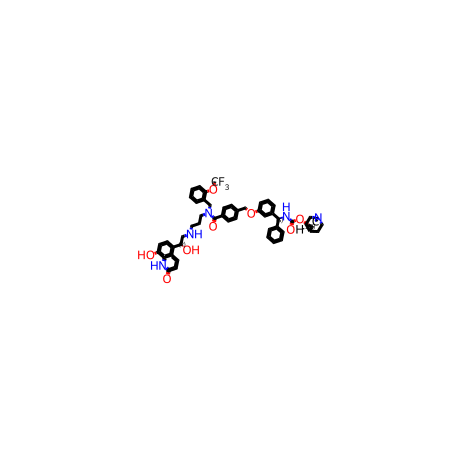 O=C(N[C@@H](c1ccccc1)c1cccc(OCc2ccc(C(=O)N(CCCNC[C@H](O)c3ccc(O)c4[nH]c(=O)ccc34)Cc3ccccc3OC(F)(F)F)cc2)c1)O[C@H]1CN2CCC1CC2